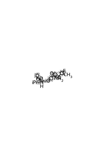 Cc1cc(C(=O)c2ccc(=O)n(C3=CC=C(OCCCN[C@@H](CC(C)C)C(=O)OC4CCCC4)CC3)c2N)ccc1F